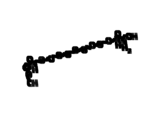 C#CCOc1cccc(C(=O)NCCOCCOCCOCCOCCOCCOCCOCCOCCOCCNC(=O)C(N)CO)c1